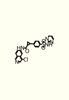 O=C(Nc1ccc2cncc(Cl)c2c1)C1CC1c1ccc(S(=O)(=O)Nc2ncccn2)cc1